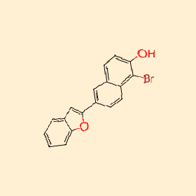 Oc1ccc2cc(-c3cc4ccccc4o3)ccc2c1Br